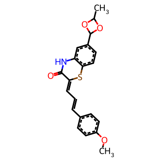 COc1ccc(C=CC=C2Sc3ccc(C4OC(C)O4)cc3NC2=O)cc1